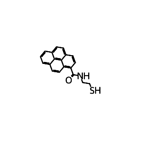 O=C(NCCS)c1ccc2ccc3cccc4ccc1c2c34